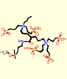 CCCC[N+](CCCC(CCC[N+](CCCS(=O)(=O)[O-])(CCCS(=O)(=O)O)CCCS(=O)(=O)O)C(=O)NCCC[Si](C)(C)O[SiH3])(CCCS(=O)(=O)[O-])CCCS(=O)(=O)O